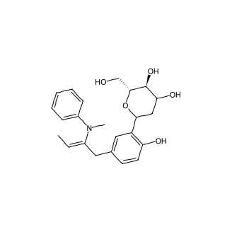 C/C=C(/Cc1ccc(O)c(C2CC(O)[C@H](O)[C@@H](CO)O2)c1)N(C)c1ccccc1